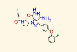 CC#CC(=O)N1CC[C@@H](n2nc(-c3ccc(Oc4ccccc4F)cc3)c3c(N)n[nH]c(=O)c32)C1